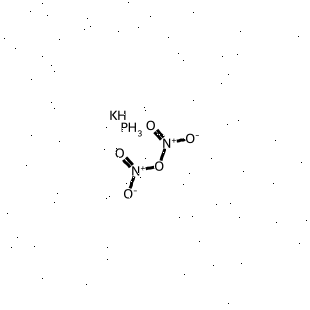 O=[N+]([O-])O[N+](=O)[O-].P.[KH]